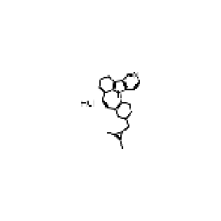 CC1=C(C)C1CC1CCC2=C(C=CC3=CCCc4c3n2c2ccncc42)C1.Cl